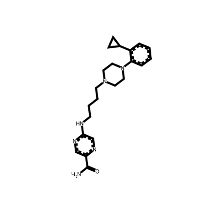 NC(=O)c1cnc(NCCCCN2CCN(c3ccccc3C3CC3)CC2)cn1